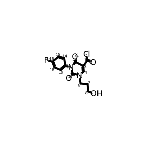 O=C(Cl)c1cn(CCCO)c(=O)n(-c2ccc(F)cc2)c1=O